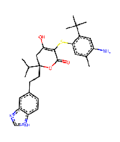 Cc1cc(SC2=C(O)CC(CCc3ccc4[nH]cnc4c3)(C(C)C)OC2=O)c(C(C)(C)C)cc1N